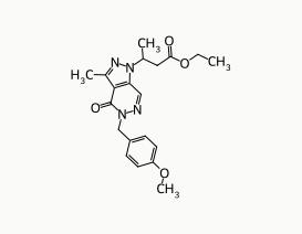 CCOC(=O)CC(C)n1nc(C)c2c(=O)n(Cc3ccc(OC)cc3)ncc21